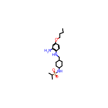 CCCCOc1ccc(NCC2CCC(NS(=O)(=O)C(C)C)CC2)c(N)c1